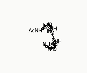 CC(=O)NCc1ccc(-c2cnc(C3CN(C(=O)c4ccc(NC(=O)[C@@H]5C[C@@H](OCCCCCCO[C@H]6CN[C@H](C(=O)Nc7ccc(C(=O)N8CC(c9ncc(-c%10ccc(CNC(C)=O)cc%10)s9)C8)s7)C6)CN5)s4)C3)s2)cc1